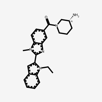 CCn1c(-c2nc3cc(C(=O)N4CCC[C@@H](N)C4)ccc3n2C)cc2ccccc21